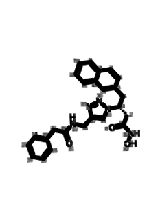 O=C(C[C@@H](Cc1ccc2ccccc2c1)n1cc(CNC(=O)Cc2ccccc2)nn1)NO